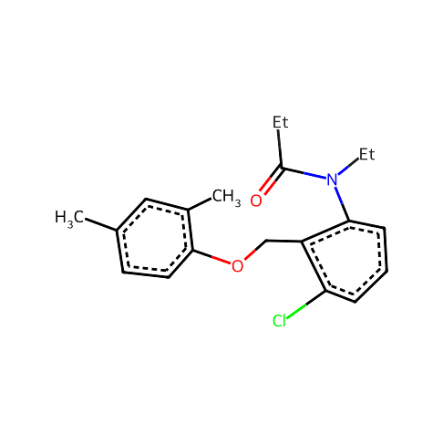 CCC(=O)N(CC)c1cccc(Cl)c1COc1ccc(C)cc1C